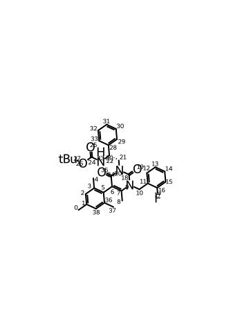 Cc1cc(C)c(-c2c(C)n(Cc3ccccc3F)c(=O)n(C[C@H](NC(=O)OC(C)(C)C)c3ccccc3)c2=O)c(C)c1